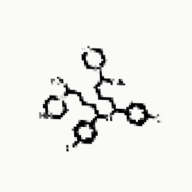 CCCCC(CCCC(OC(CCCC(CCCC)N1CCNCC1)c1ccc(Cl)cc1)c1ccc(Cl)cc1)N1CCNCC1